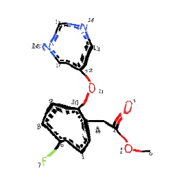 COC(=O)c1cc(F)ccc1Oc1cncnc1